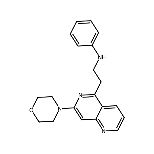 c1ccc(NCCc2nc(N3CCOCC3)cc3ncccc23)cc1